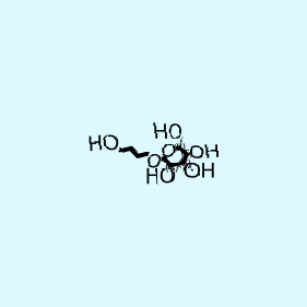 OCCCCOC1O[C@H](CO)[C@@H](O)[C@H](O)[C@H]1O